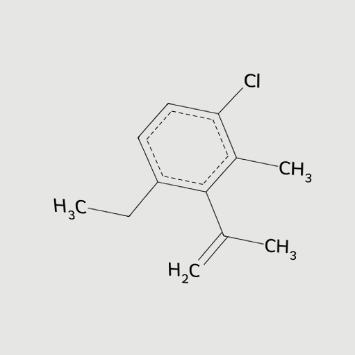 C=C(C)c1c(CC)ccc(Cl)c1C